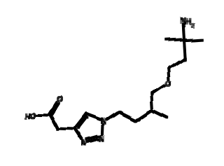 CC(CCn1cc(CC(=O)O)nn1)COCCC(C)(C)N